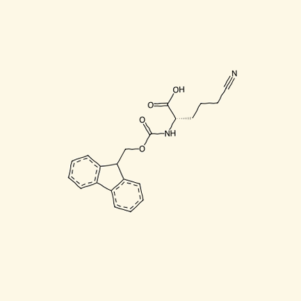 N#CCCC[C@H](NC(=O)OCC1c2ccccc2-c2ccccc21)C(=O)O